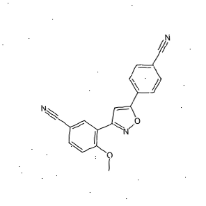 COc1ccc(C#N)cc1-c1cc(-c2ccc(C#N)cc2)on1